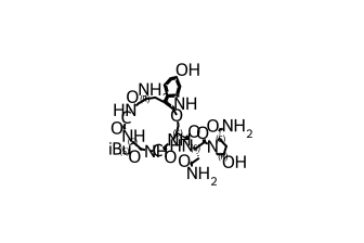 CC[C@H](C)[C@@H]1NC(=O)CNC(=O)[C@H](N)Cc2c([nH]c3cc(O)ccc23)OC[C@@H](C(=O)N[C@@H](CC(N)=O)C(=O)N2C[C@H](O)C[C@H]2C(N)=O)NC(=O)CNC1=O